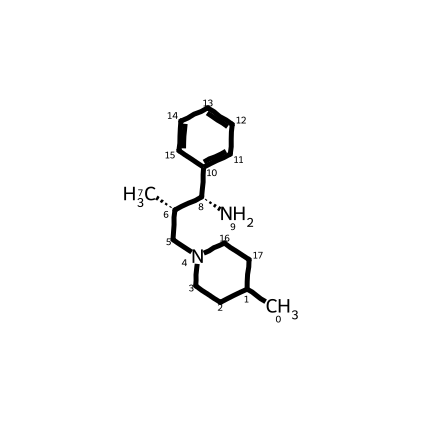 CC1CCN(C[C@H](C)[C@@H](N)c2ccccc2)CC1